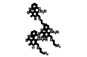 CCOC(=O)C1=C(COCCN)NC(C)=C(C(=O)OC)C1c1ccccc1Cl.CCOC(=O)C1=C(COCCN)NC(C)=C(C(=O)OC)C1c1ccccc1Cl.CCOC(=O)C1=C(COCCN)NC(C)=C(C(=O)OC)C1c1ccccc1Cl